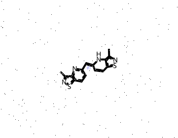 Cc1nsc2c1N/C(=C/c1ccc3snc(C)c3n1)C=C2